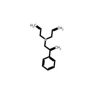 C=CCN(CC=C)CC(=C)c1ccccc1